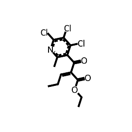 CCC=C(C(=O)OCC)C(=O)c1c(C)nc(Cl)c(Cl)c1Cl